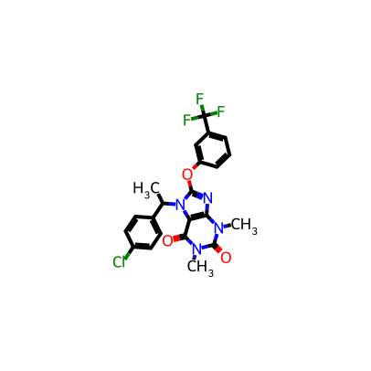 CC(c1ccc(Cl)cc1)n1c(Oc2cccc(C(F)(F)F)c2)nc2c1c(=O)n(C)c(=O)n2C